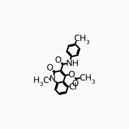 CC(=O)Oc1c(C(=O)Nc2ccc(C)cc2)c(=O)n(C)c2cccc(Cl)c12